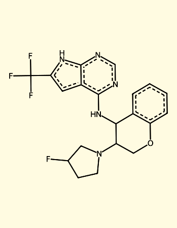 FC1CCN(C2COc3ccccc3C2Nc2ncnc3[nH]c(C(F)(F)F)cc23)C1